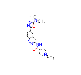 CN1CCC(C(=O)Nc2cc3cc(-c4nnc(N(C)C)o4)ccc3nn2)CC1